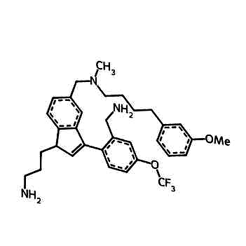 COc1cccc(CCCCN(C)Cc2ccc3c(c2)C(c2ccc(OC(F)(F)F)cc2CN)=CC3CCCN)c1